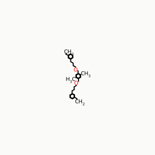 C=Cc1cccc(CCCCOCc2cc(C)c(COCCCCc3cccc(C=C)c3)cc2C)c1